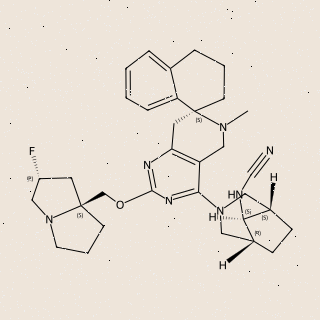 CN1Cc2c(nc(OC[C@@]34CCCN3C[C@H](F)C4)nc2N2C[C@H]3CC[C@@H](C2)[C@@H]3NC#N)C[C@]12CCCc1ccccc12